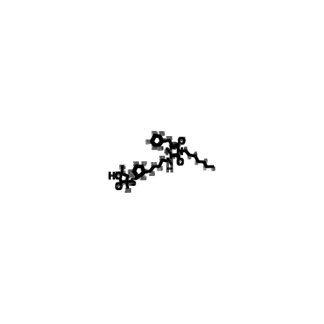 CCCCCCCn1c(=O)c(NCCCCc2cccc(SC(C)(CCC)C(=O)O)c2)nn(Cc2ccccc2)c1=O